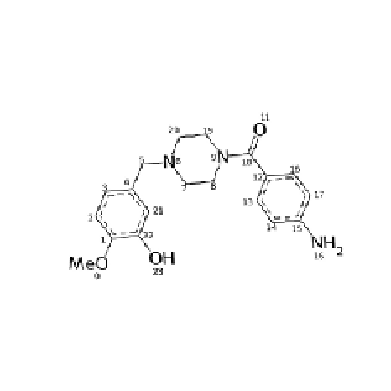 COc1ccc(CN2CCN(C(=O)c3ccc(N)cc3)CC2)cc1O